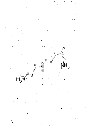 CC(CN)CCCNCCCN